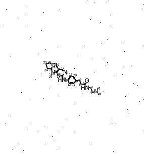 CN(C)CCNC(=O)CCc1ccc(Nc2ncc(Cl)c(N(C)C3CCCO3)n2)cc1